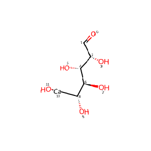 O=C[C@H](O)[C@@H](O)[C@@H](O)[C@H](O)[Ca][OH]